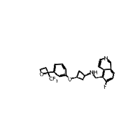 Fc1ccc2cnccc2c1CNC1CC(Oc2cccc(C3(C(F)(F)F)CCO3)c2)C1